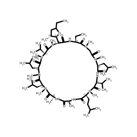 CCC1C[C@@H](C)[C@H]([C@H]2C(=O)N[C@@H](CC)C(=O)N(C)CC(=O)N(C)[C@@H](CC(C)C)C(=O)N[C@@H](C(C)C)C(=O)N(C)[C@@H](CCC(C)C)C(=O)N[C@@H](C)C(=O)N[C@H](C)C(=O)N(C)[C@@H](CC(C)C)C(=O)N(C)[C@@H](CC(C)C)C(=O)N(C)[C@@H](C(C)C)C(=O)N2C)O1